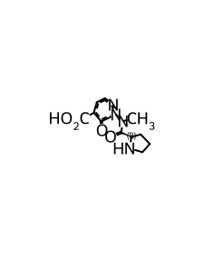 CN(C(=O)[C@H]1CCCN1)n1nccc(C(=O)O)c1=O